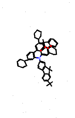 CC(C)(C)c1ccc2c(c1)C(C)(C)c1cc(N(c3ccc4c(c3)C(C)(C)c3ccccc3-4)c3cc(C4CCCCC4)ccc3-c3cc(C4CCCCC4)cc(C4CCCCC4)c3)ccc1-2